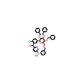 CCOc1ccc(C(=O)c2cc([C@@H]3O[C@H](COCc4ccccc4)[C@@H](OCc4ccccc4)C(OCc4ccccc4)[C@@H]3OCc3ccccc3)ccc2Cl)nn1